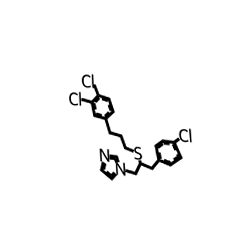 Clc1ccc(CC(Cn2ccnc2)SCCCc2ccc(Cl)c(Cl)c2)cc1